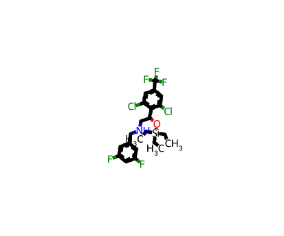 CC[Si](CC)(CC)OC(CNCc1cc(F)cc(F)c1)c1c(Cl)cc(C(F)(F)F)cc1Cl